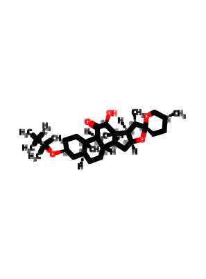 C[C@@H]1CC[C@@]2(OC1)O[C@H]1C[C@H]3[C@@H]4CC[C@H]5C[C@@H](O[Si](C)(C)C(C)(C)C)CC[C@]5(C)[C@H]4C(=O)[C@@H](O)[C@]3(C)[C@H]1[C@@H]2C